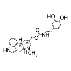 CN1C[C@H](COC(=O)NCCc2ccc(O)c(O)c2)C[C@@H]2c3cccc4[nH]cc(c34)C[C@H]21